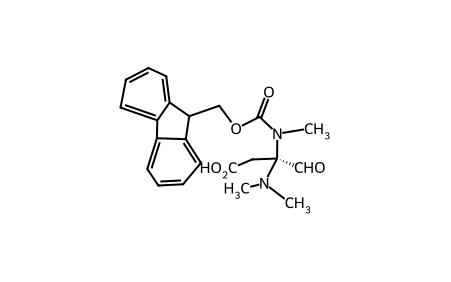 CN(C)[C@@](C=O)(CC(=O)O)N(C)C(=O)OCC1c2ccccc2-c2ccccc21